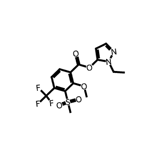 CCn1nccc1OC(=O)c1ccc(C(F)(F)F)c(S(C)(=O)=O)c1OC